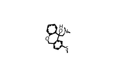 CSc1ccc2c(c1)C(O)(CN(C)C)c1ccccc1OC2